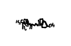 Cc1ccc2c(ccn2CCCCNC(=O)OC(C)(C)C)c1